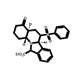 CCOC(=O)C1c2ccccc2[C@@H]2C(S(=O)(=O)c3ccccc3)C[C@@H]3C(=O)CCC[C@H]3N12